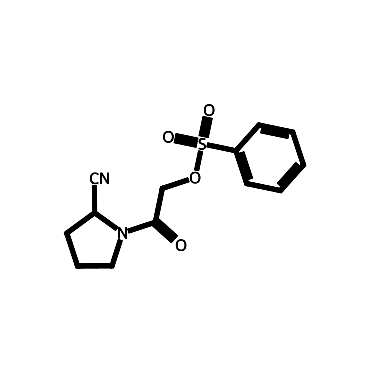 N#CC1CCCN1C(=O)COS(=O)(=O)c1ccccc1